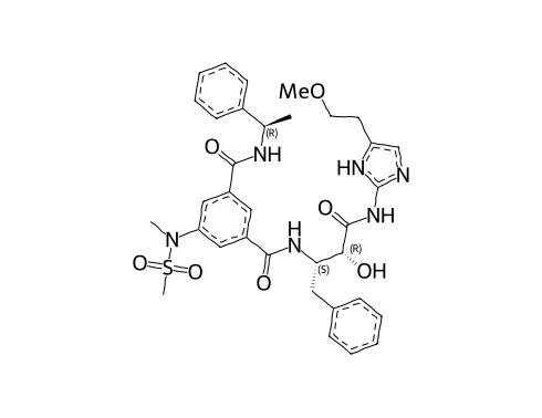 COCCc1cnc(NC(=O)[C@H](O)[C@H](Cc2ccccc2)NC(=O)c2cc(C(=O)N[C@H](C)c3ccccc3)cc(N(C)S(C)(=O)=O)c2)[nH]1